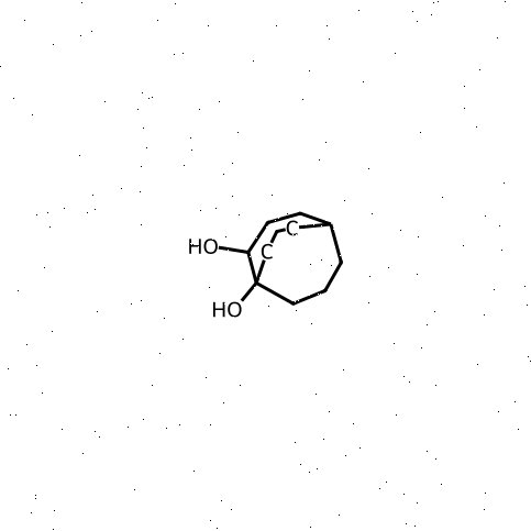 OC1CCC2CCCC1(O)CCC2